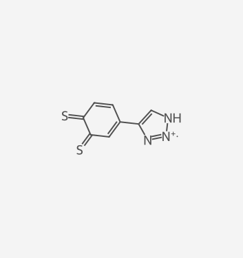 S=C1C=CC(C2=CN[N+]=N2)=CC1=S